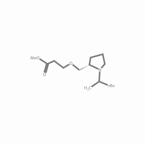 CCCCC(C)N1CCC[C@H]1COCCC(=O)OC